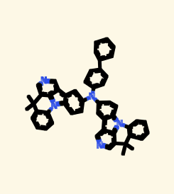 CC1(C)c2ccccc2-n2c3ccc(N(c4ccc(-c5ccccc5)cc4)c4ccc5c(c4)c4cncc6c4n5-c4ccccc4C6(C)C)cc3c3cncc1c32